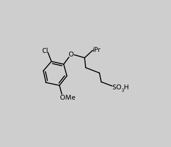 COc1ccc(Cl)c(OC(CCCS(=O)(=O)O)C(C)C)c1